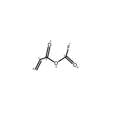 C=CC(=O)OC(=O)F